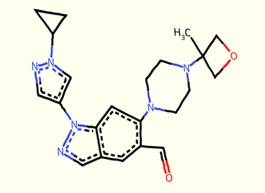 CC1(N2CCN(c3cc4c(cnn4-c4cnn(C5CC5)c4)cc3C=O)CC2)COC1